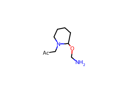 CC(=O)CN1CCCCC1OCN